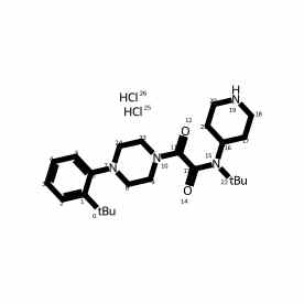 CC(C)(C)c1ccccc1N1CCN(C(=O)C(=O)N(C2CCNCC2)C(C)(C)C)CC1.Cl.Cl